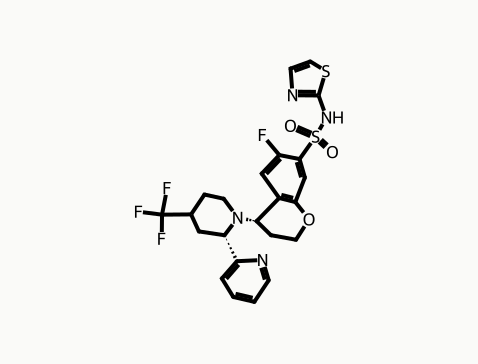 O=S(=O)(Nc1nccs1)c1cc2c(cc1F)[C@@H](N1CCC(C(F)(F)F)C[C@H]1c1ccccn1)CCO2